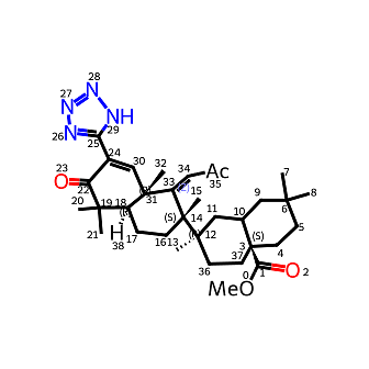 COC(=O)[C@]12CCC(C)(C)CC1C[C@](C)([C@]1(C)CC[C@H]3C(C)(C)C(=O)C(c4nnn[nH]4)=C[C@]3(C)/C1=C/C(C)=O)CC2